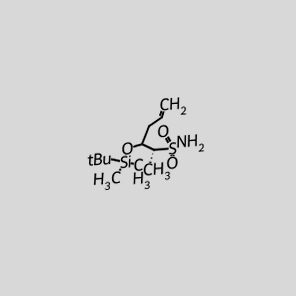 C=CCC(O[Si](C)(C)C(C)(C)C)[C@@H](C)S(N)(=O)=O